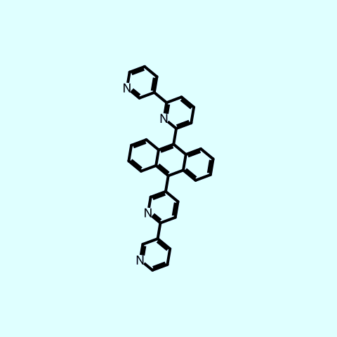 c1cncc(-c2ccc(-c3c4ccccc4c(-c4cccc(-c5cccnc5)n4)c4ccccc34)cn2)c1